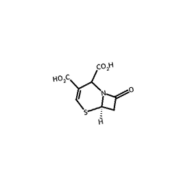 O=C(O)C1=CS[C@@H]2CC(=O)N2C1C(=O)O